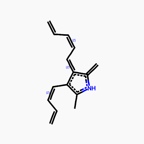 C=C/C=C\C=c1\c(/C=C\C=C)c(C)[nH]c1=C